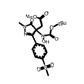 COC(=O)CC1(N(O)C(=O)OC(C)(C)C)C(=O)N(C)N=C1c1ccc(S(C)(=O)=O)cc1